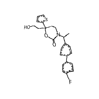 CC(c1ccc(-c2ccc(F)cc2)cc1)N1CCC(CCO)(c2cccs2)OC1=O